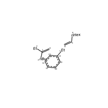 C=C(CC)CCCC.C=CCCCCCC.CCc1ccccc1